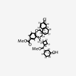 COC(=O)c1ccc2c(c1)N(C[C@@H]1CC[C@H]1C(OC)[C@H]1CCC[C@H](O)C1)C[C@@]1(CCCc3cc(Cl)ccc31)CO2